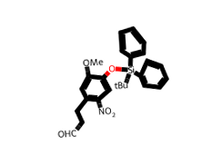 COc1cc(CCC=O)c([N+](=O)[O-])cc1O[Si](c1ccccc1)(c1ccccc1)C(C)(C)C